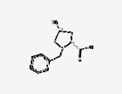 O=C(O)[C@H]1C[C@@H](O)CN1Cc1ccccc1